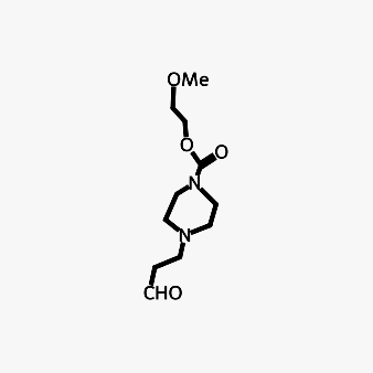 COCCOC(=O)N1CCN(CCC=O)CC1